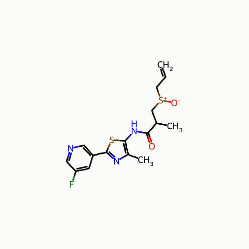 C=CC[S+]([O-])CC(C)C(=O)Nc1sc(-c2cncc(F)c2)nc1C